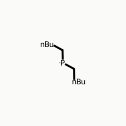 CCCCC[P]CCCCC